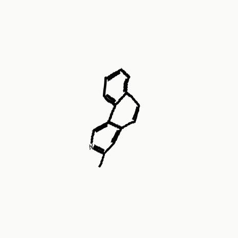 Cc1cc2ccc3ccccc3c2cn1